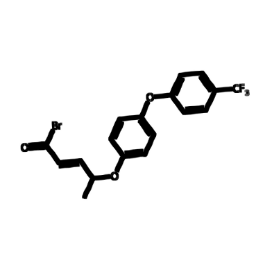 CC(/C=C/C(=O)Br)Oc1ccc(Oc2ccc(C(F)(F)F)cc2)cc1